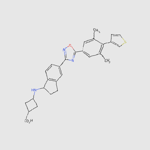 Cc1cc(-c2nc(-c3ccc4c(c3)CCC4NC3CC(C(=O)O)C3)no2)cc(C)c1-c1ccsc1